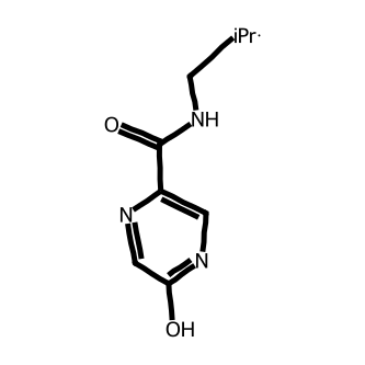 C[C](C)CNC(=O)c1cnc(O)cn1